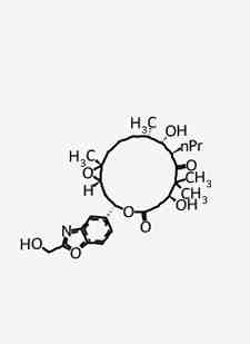 CCC[C@H]1C(=O)C(C)(C)[C@@H](O)CC(=O)O[C@H](c2ccc3oc(CO)nc3c2)C[C@@H]2O[C@]2(C)CCC[C@H](C)[C@@H]1O